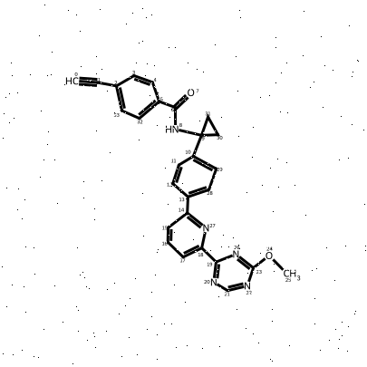 C#Cc1ccc(C(=O)NC2(c3ccc(-c4cccc(-c5ncnc(OC)n5)n4)cc3)CC2)cc1